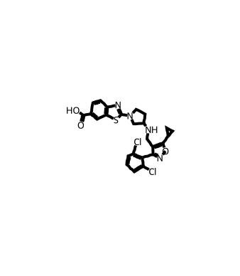 O=C(O)c1ccc2nc(N3CCC(NCc4c(-c5c(Cl)cccc5Cl)noc4C4CC4)C3)sc2c1